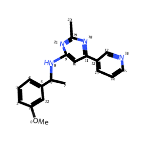 COc1cccc(C(C)Nc2cc(-c3cccnc3)nc(C)n2)c1